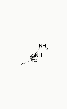 CCCCCCCCC(=O)N1CCCC1C(=O)NCCCCCN